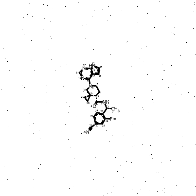 C[C@H](NC(=O)[C@H]1CCN(c2ncnc3[nH]ccc23)CC12CC2)c1ccc(C#N)cc1F